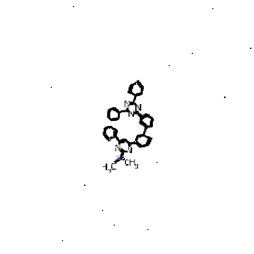 C/C=C(\C)c1nc(-c2ccccc2)cc(-c2cccc(-c3cccc(-c4nc(-c5ccccc5)nc(-c5ccccc5)n4)c3)c2)n1